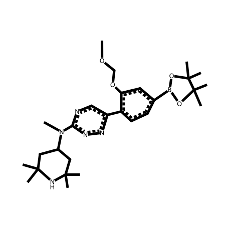 COCOc1cc(B2OC(C)(C)C(C)(C)O2)ccc1-c1cnc(N(C)C2CC(C)(C)NC(C)(C)C2)nn1